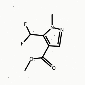 COC(=O)c1cnn(C)c1C(F)F